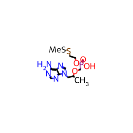 CSSCCOP(=O)(O)COC(C)Cn1cnc2c(N)ncnc21